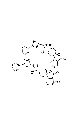 O=C1O[C@]2(CC[C@@](O)(C(=O)Nc3cc(-c4ccccc4)no3)CC2)c2cccnc21.O=C1O[C@]2(CC[C@H](C(=O)Nc3cc(-c4ccccc4)no3)CC2)c2ccc[n+]([O-])c21